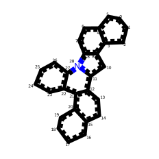 c1ccc2c(c1)ccc1c2cc2c3ccc4ccccc4c3c3ccccc3n12